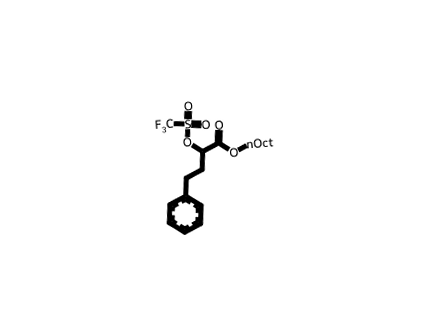 CCCCCCCCOC(=O)C(CCc1ccccc1)OS(=O)(=O)C(F)(F)F